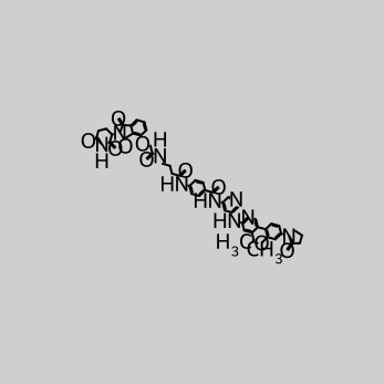 CC1(C)Oc2cc(N3CCCC3=O)ccc2-c2cnc(Nc3cncc(NC(=O)c4ccc(NC(=O)CCCNC(=O)COc5cccc6c5C(=O)N(C5CCC(=O)NC5=O)C6=O)cc4)c3)cc21